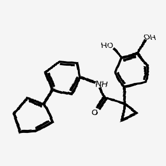 O=C(Nc1cccc(C2=CCCC=C2)c1)C1(c2ccc(O)c(O)c2)CC1